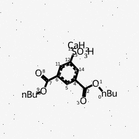 CCCCOC(=O)c1cc(C(=O)OCCCC)cc(S(=O)(=O)O)c1.[CaH2]